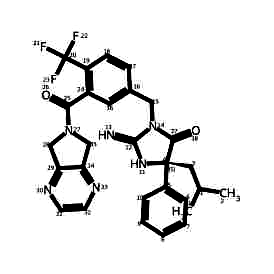 CC(C)C[C@@]1(c2ccccc2)NC(=N)N(Cc2ccc(C(F)(F)F)c(C(=O)N3Cc4nccnc4C3)c2)C1=O